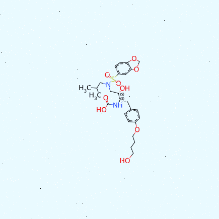 CC(C)CN(C[C@H](O)[C@H](Cc1ccc(OCCCCO)cc1)NC(=O)O)S(=O)(=O)c1ccc2c(c1)OCO2